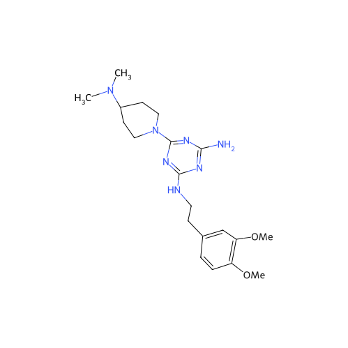 COc1ccc(CCNc2nc(N)nc(N3CCC(N(C)C)CC3)n2)cc1OC